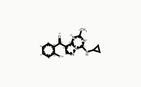 Cc1nc(NC2CC2)n2ncc(C(=O)c3ccccc3F)c2n1